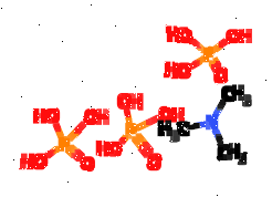 CN(C)C.O=P(O)(O)O.O=P(O)(O)O.O=P(O)(O)O